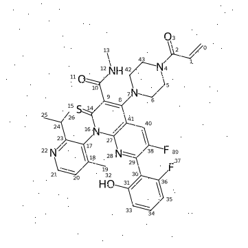 C=CC(=O)N1CCN(c2c(C(=O)NC)c(=S)n(-c3c(C)ccnc3C(C)C)c3nc(-c4c(O)cccc4F)c(F)cc23)CC1